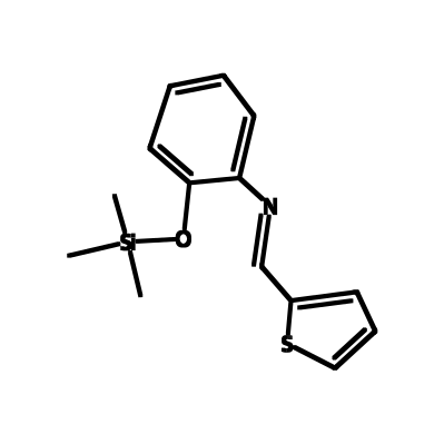 C[Si](C)(C)Oc1ccccc1N=Cc1cccs1